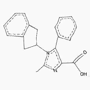 Cc1nc(C(=O)O)c(-c2ccccc2)n1C1Cc2ccccc2C1